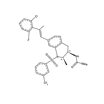 CNC(=O)N[C@@H]1Cc2ccc(C=C(C)c3c(F)cccc3Cl)cc2N(S(=O)(=O)c2cccc(C(F)(F)F)c2)[C@@H]1C